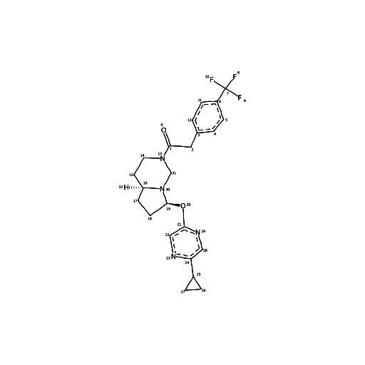 O=C(Cc1ccc(C(F)(F)F)cc1)N1CC[C@@H]2CC[C@H](Oc3cnc(C4CC4)cn3)N2C1